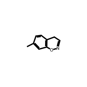 Cc1ccc2c(c1)ON=CC2